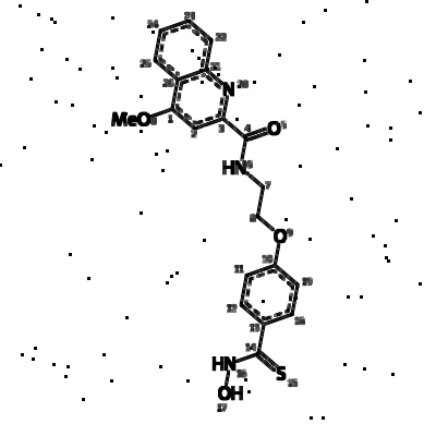 COc1cc(C(=O)NCCOc2ccc(C(=S)NO)cc2)nc2ccccc12